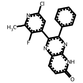 Cc1nc(Cl)cc(-c2nc3ccc(=O)[nH]c3nc2-c2ccccc2)c1F